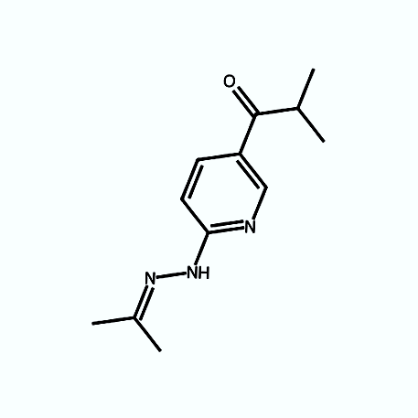 CC(C)=NNc1ccc(C(=O)C(C)C)cn1